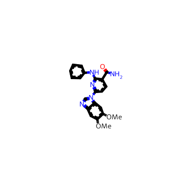 COc1cc2ncn(-c3ccc(C(N)=O)c(Nc4ccccc4)n3)c2cc1OC